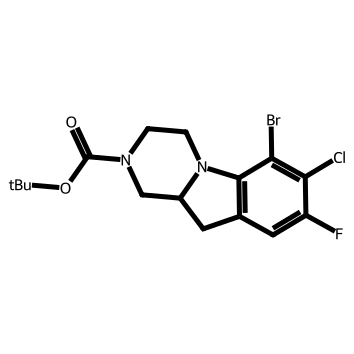 CC(C)(C)OC(=O)N1CCN2c3c(cc(F)c(Cl)c3Br)CC2C1